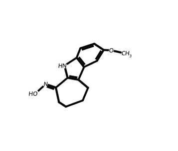 COc1ccc2[nH]c3c(c2c1)CCCCC3=NO